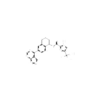 CC(C)(C)c1c[nH]c(C(=O)NC2CCCc3cc(-c4ncnc5[nH]ncc45)ccc32)n1